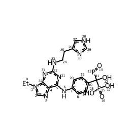 CCn1cnc2c(Nc3ccc(C(O)(P=O)P(=O)(O)O)cc3)nc(NCCc3c[nH]cn3)nc21